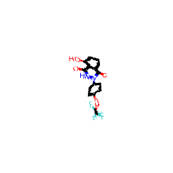 O=c1[nH]n(-c2ccc(OC(F)(F)F)cc2)c(=O)c2cccc(O)c12